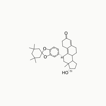 CC1(C)CC(C)(C)CC2(C1)Oc1ccc([C@H]3CC4(C)C(CC[C@@H]4O)C4CCC5=CC(=O)CCC5=C43)cc1O2